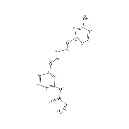 C=CC(=O)Oc1cccc(OCCCOc2cccc(O)c2)c1